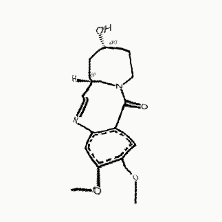 COc1cc2c(cc1OC)C(=O)N1CC[C@@H](O)C[C@H]1C=N2